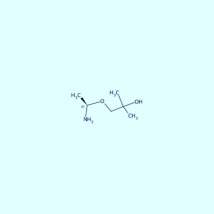 C[C@H](N)OCC(C)(C)O